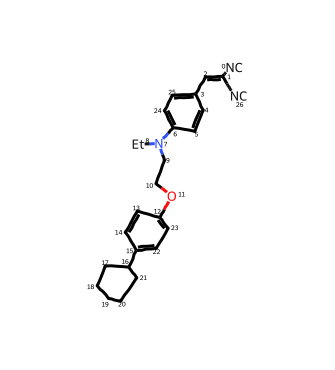 [C-]#[N+]C(=Cc1ccc(N(CC)CCOc2ccc(C3CCCCC3)cc2)cc1)[N+]#[C-]